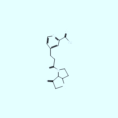 NC(=O)c1cc(C[CH]C(=O)N2CCC3OCC(=O)C32)ccn1